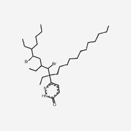 CCCCCCCCCCCCC(CC)(c1ccc(=O)[nH]n1)C(Br)C(CC)CC(Br)C(CC)CCCC